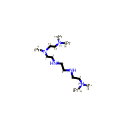 CC(C)N(CCNCCNCCN(C(C)C)C(C)C)CCN(C(C)C)C(C)C